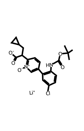 CC(C)(C)OC(=O)Nc1ccc(Cl)cc1-c1ccc(C(CC2CC2)C(=O)[O-])[n+]([O-])c1.[Li+]